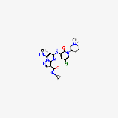 CNc1cc(Nc2cc(Cl)cn(C3CCCN(C)C3)c2=O)nc2c(C(=O)NC3CC3)cnn12